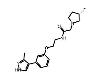 Cc1n[nH]cc1-c1c[c]cc(OCCNC(=O)CN2CC[C@H](F)C2)c1